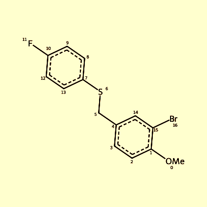 COc1ccc(CSc2ccc(F)cc2)cc1Br